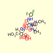 CC1=NO[C@@]2(CC[C@H](C)N3C[C@H]2n2cc(C(=O)NCc4ccc(F)cc4F)c(=O)c(OC(=O)N(C)Cc4cc(C(=O)O)ccc4OP(=O)(O)O)c2C3=O)C1